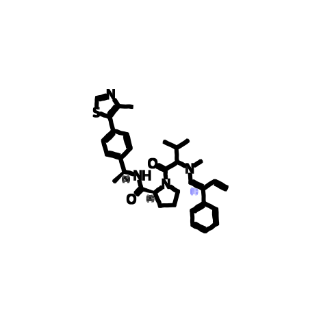 C=C/C(=C\N(C)C(C(=O)N1CCC[C@H]1C(=O)N[C@@H](C)c1ccc(-c2scnc2C)cc1)C(C)C)c1ccccc1